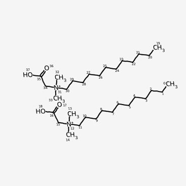 CCCCCCCCCCCC[N+](C)(C)CC(=O)O.CCCCCCCCCCCC[N+](C)(C)CC(=O)O